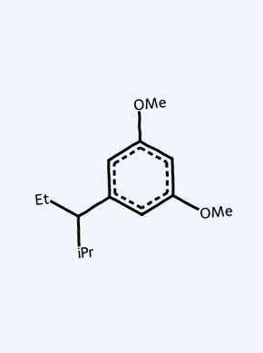 CCC(c1cc(OC)cc(OC)c1)C(C)C